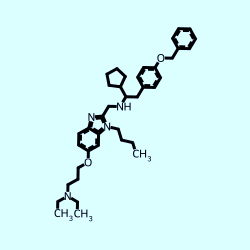 CCCCn1c(CNC(Cc2ccc(OCc3ccccc3)cc2)C2CCCC2)nc2ccc(OCCCN(CC)CC)cc21